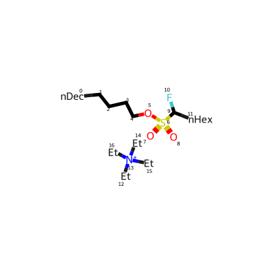 CCCCCCCCCCCCCCOS(=O)(=O)C(F)CCCCCC.CC[N+](CC)(CC)CC